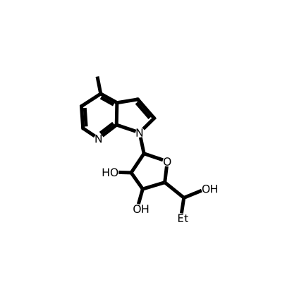 CCC(O)C1OC(n2ccc3c(C)ccnc32)C(O)C1O